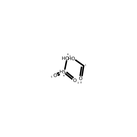 O=CO.O=[SH](=O)O